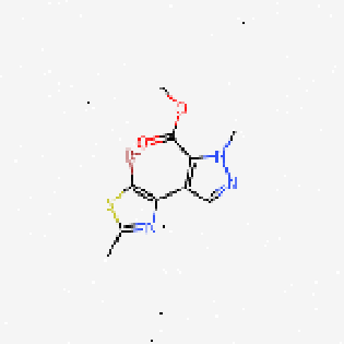 COC(=O)c1c(-c2nc(C)sc2Br)cnn1C